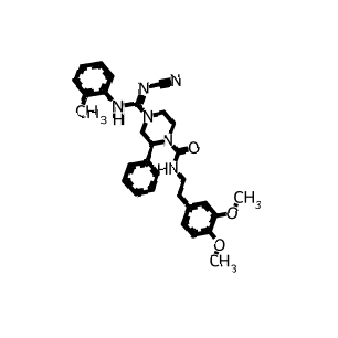 COc1ccc(CCNC(=O)N2CCN(/C(=N\C#N)Nc3ccccc3C)CC2c2ccccc2)cc1OC